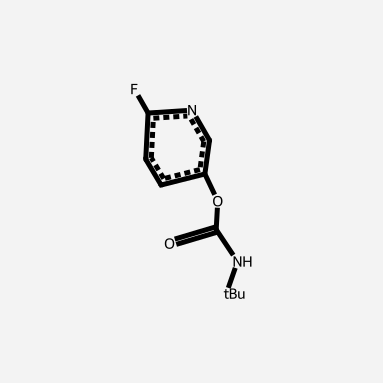 CC(C)(C)NC(=O)Oc1ccc(F)nc1